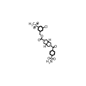 CS(=O)(=O)c1cc(Cl)cc(COC(=O)N2C[C@@H]3CN(C(=O)c4ccc(S(N)(=O)=O)cc4)C[C@H]3C2)c1